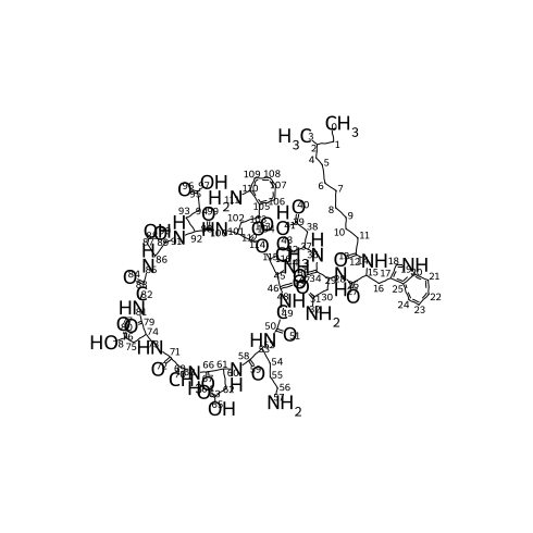 CCC(C)CCCCCCCCC(=O)NC(Cc1c[nH]c2ccccc12)C(=O)NC(CC(N)=O)C(=O)NC(CC(=O)O)C(=O)NC1C(=O)NCC(=O)NC(CCCN)C(=O)NC(CC(=O)O)C(=O)NC(C)C(=O)NC(CC(=O)O)C(=O)NCC(=O)NC(CO)C(=O)NC(CCC(=O)O)C(=O)NC(CC(=O)c2ccccc2N)C(=O)OC1C